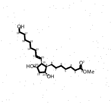 COC(=O)CCCCCC[C@@H]1[C@H](C=CCCCCCCO)[C@H](O)C[C@@H]1O